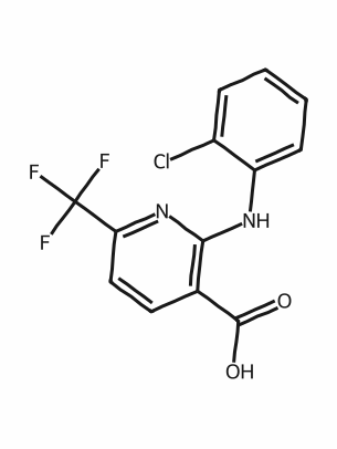 O=C(O)c1ccc(C(F)(F)F)nc1Nc1ccccc1Cl